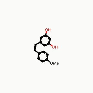 COc1ccc(/C=C\c2cc(O)cc(O)c2)cc1